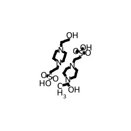 CC(O)N1CCN(CCS(=O)(=O)O)CC1.O=S(=O)(O)CCN1CCN(CCO)CC1